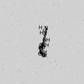 NCCCNCCCCNCCCNS(=O)(=O)c1ccc(CNC(=O)c2ccccc2)s1